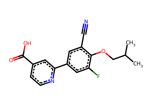 CC(C)COc1c(F)cc(-c2cc(C(=O)O)ccn2)cc1C#N